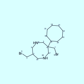 BrCC1CNCC(CBr)(C2CCCCCCC2)CNC1